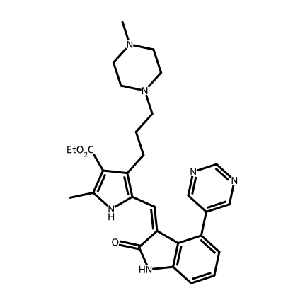 CCOC(=O)c1c(C)[nH]c(/C=C2\C(=O)Nc3cccc(-c4cncnc4)c32)c1CCCN1CCN(C)CC1